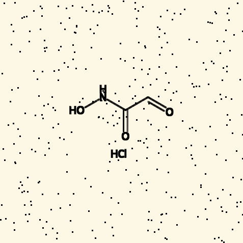 Cl.O=CC(=O)NO